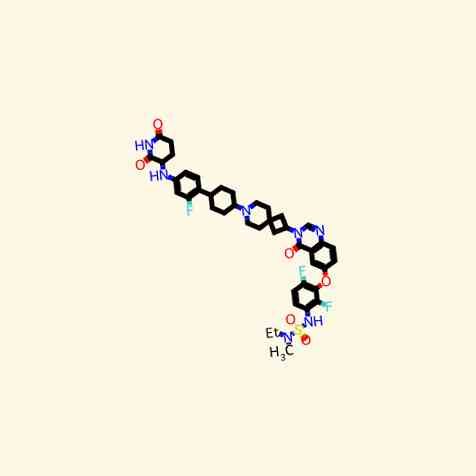 CCN(C)S(=O)(=O)Nc1ccc(F)c(Oc2ccc3ncn(C4CC5(CCN(C6CCC(c7ccc(NC8CCC(=O)NC8=O)cc7F)CC6)CC5)C4)c(=O)c3c2)c1F